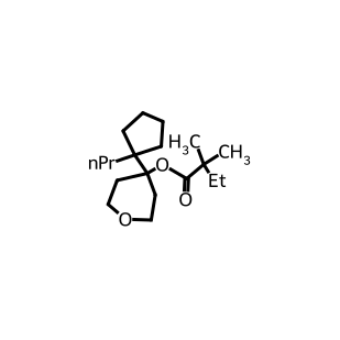 CCCC1(C2(OC(=O)C(C)(C)CC)CCOCC2)CCCC1